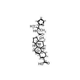 CC(C)(NC(=O)[C@H]1CC[C@H]2[C@@H]3CC=C4C=C(C(=O)O)CC[C@]4(C)[C@H]3CC[C@]12C)c1cccs1